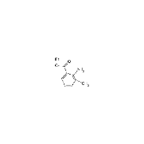 Cc1cccc(C(=O)OC(C)C)c1N